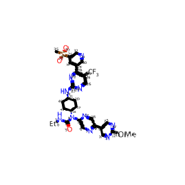 CCNC(=O)N(c1cnc(-c2cnc(OC)nc2)cn1)[C@H]1CC[C@H](Nc2ncc(C(F)(F)F)c(-c3cncc(S(C)(=O)=O)c3)n2)CC1